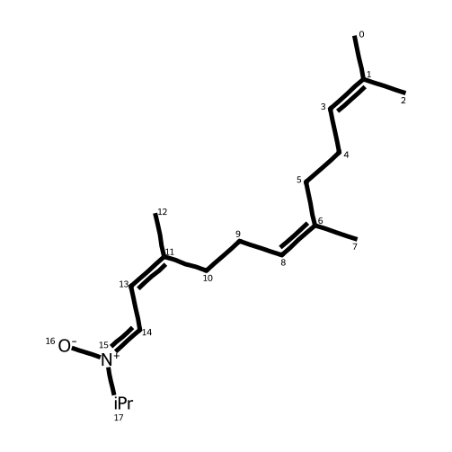 CC(C)=CCCC(C)=CCCC(C)=CC=[N+]([O-])C(C)C